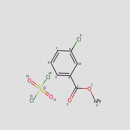 CCCOC(=O)c1cccc(Cl)c1.O=S(=O)(Cl)Cl